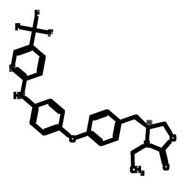 CCN1C(=O)OC[C@@H]1Cc1ccc(Oc2ccc(Nc3ccc(C(F)(F)F)cn3)cc2)cc1